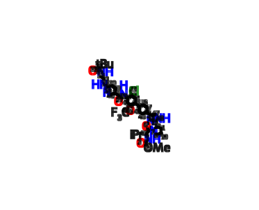 COC(=O)N[C@H](C(=O)N1C[C@@H](C)C[C@H]1c1nc(-c2ccc(-c3cc(Cl)c(NC(=O)c4ccc(NCCNC(=O)C(C)(C)C)nc4)cc3OC(F)(F)F)cc2)c[nH]1)C(C)C